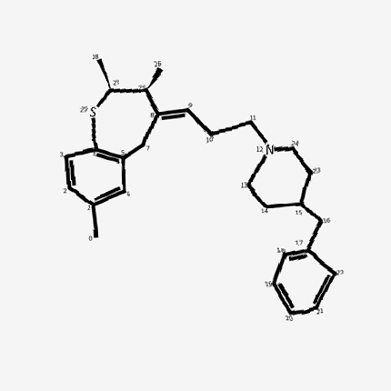 Cc1ccc2c(c1)C/C(=C\CCN1CCC(Cc3ccccc3)CC1)[C@H](C)[C@H](C)S2